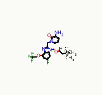 C[Si](C)(C)CCOCn1c(Cn2cccc(N)c2=O)nc2c(OCC(F)(F)F)cc(F)cc21